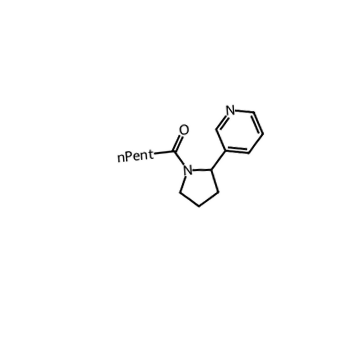 CCCCCC(=O)N1CCCC1c1cccnc1